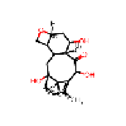 CC1=C2C(O)C(=O)C3(C)C(O)C[C@H]4OCC4C3CC(O)(CC1)C2(C)C